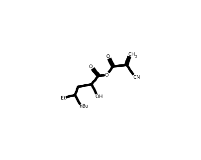 C=C(C#N)C(=O)OC(=O)C(O)CC(CC)CCCC